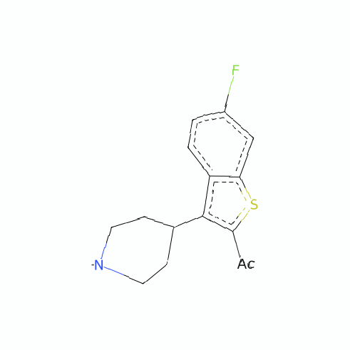 CC(=O)c1sc2cc(F)ccc2c1C1CC[N]CC1